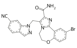 N#Cc1ccc2cnn(Cc3c(C(N)=O)nc4n3CCOc3ccc(Br)cc3-4)c2c1